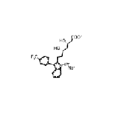 CC(C)n1c(/C=C/[C@H](O)C[C@H](O)CC(=O)[O-])c(-c2ccc(C(F)(F)F)cc2)c2ccccc21.[Na+]